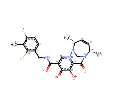 Cc1c(F)ccc(CNC(=O)c2cn3c(c(O)c2=O)C(=O)N2CN3[C@H](C)C=C[C@@H]2C)c1F